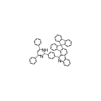 C1=C(c2ccccc2)NC(c2ccc(-c3nc4ccccc4c4ccc5c(c34)-c3ccccc3C53c4ccccc4-c4ccccc43)cc2)N=C1c1ccccc1